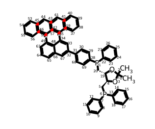 CC1(C)O[C@@H](CP(c2ccccc2)c2ccccc2)[C@H](CP(c2ccccc2)c2ccc(-c3cc(P(c4ccccc4)c4ccccc4)c4c(P(c5ccccc5)c5ccccc5)cccc4c3)cc2)O1